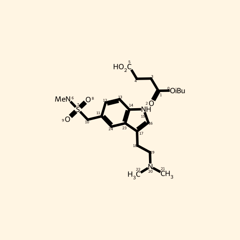 CC(C)COC(=O)CCC(=O)O.CNS(=O)(=O)Cc1ccc2[nH]cc(CCN(C)C)c2c1